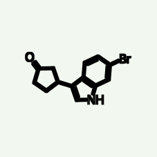 O=C1CCC(c2c[nH]c3cc(Br)ccc23)C1